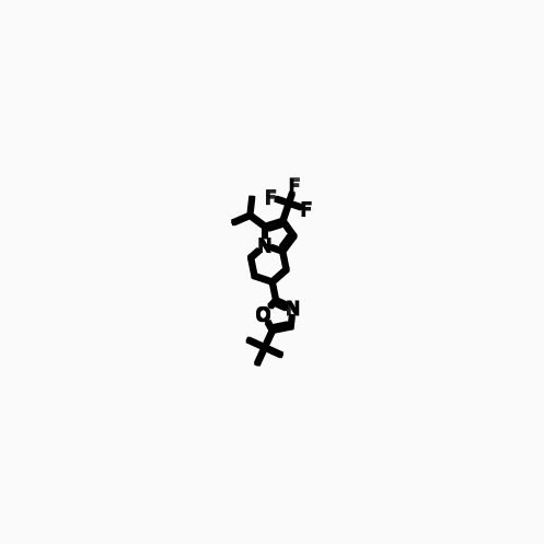 CC(C)c1c(C(F)(F)F)cc2n1CCC(c1ncc(C(C)(C)C)o1)C2